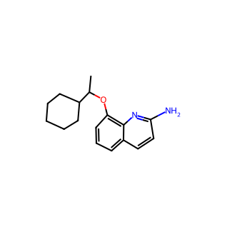 CC(Oc1cccc2ccc(N)nc12)C1CCCCC1